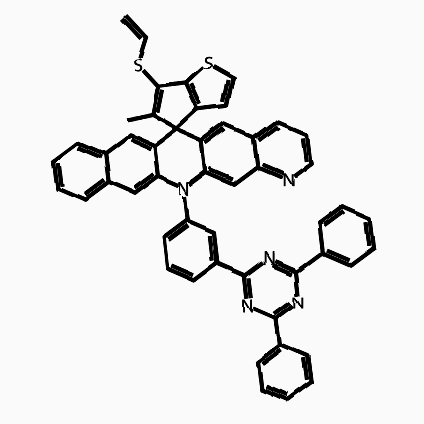 C=CSC1=C(C)C2(c3cc4ccccc4cc3N(c3cccc(-c4nc(-c5ccccc5)nc(-c5ccccc5)n4)c3)c3cc4ncccc4cc32)c2ccsc21